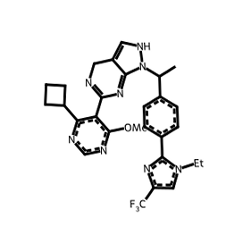 CCn1cc(C(F)(F)F)nc1-c1ccc(C(C)N2NC=C3CN=C(c4c(OC)ncnc4C4CCC4)N=C32)cc1